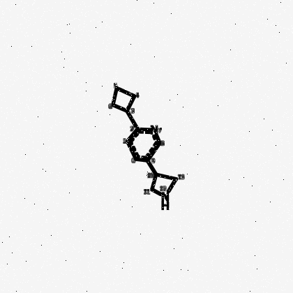 c1cc(C2CCC2)ncc1C1CNC1